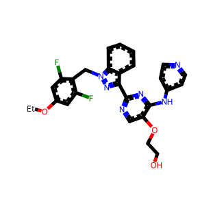 CCOc1cc(F)c(Cn2nc(-c3ncc(OCCO)c(Nc4ccncc4)n3)c3ccccc32)c(F)c1